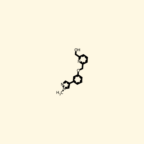 Cn1cc(-c2c[c]cc(OCc3cccc(CO)n3)c2)cn1